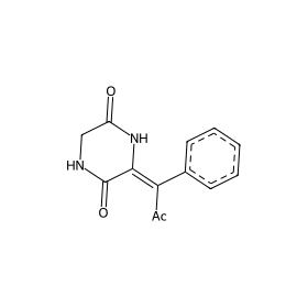 CC(=O)C(=C1NC(=O)CNC1=O)c1ccccc1